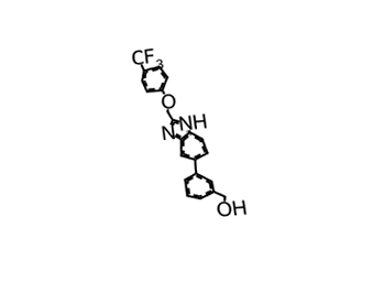 OCc1cccc(-c2ccc3[nH]c(COc4ccc(C(F)(F)F)cc4)nc3c2)c1